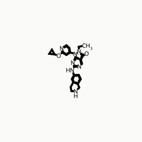 CCn1c(=O)c2cnc(Nc3ccc4c(c3)CCNC4)nc2n1-c1ccnc(OC2CC2)c1